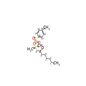 CCCCCCC(=O)CS(C)(C)OS(=O)(=O)c1ccc(C)cc1